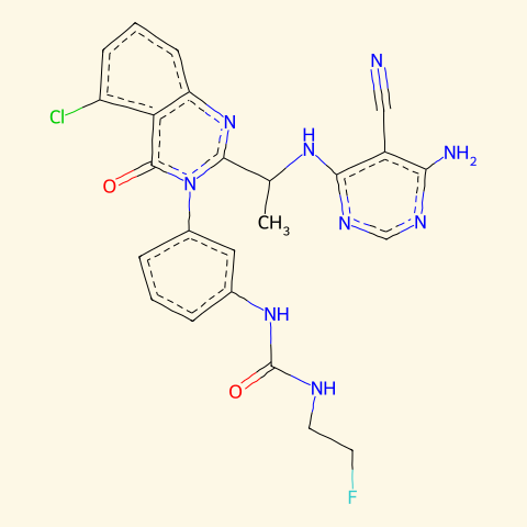 CC(Nc1ncnc(N)c1C#N)c1nc2cccc(Cl)c2c(=O)n1-c1cccc(NC(=O)NCCF)c1